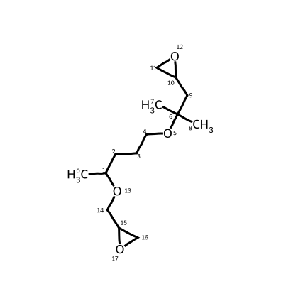 CC(CCCOC(C)(C)CC1CO1)OCC1CO1